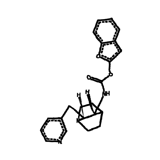 O=C(N[C@@H]1C2CCN(CC2)[C@H]1Cc1cccnc1)Oc1cc2ccccc2o1